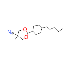 CCCCCC1CCC(C2OCC(C)(C#N)CO2)CC1